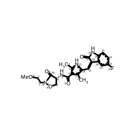 COCCN1OC[C@@H](NC(=O)c2c(C)[nH]c(/C=C3\C(=O)Nc4ccc(F)cc43)c2C)C1=O